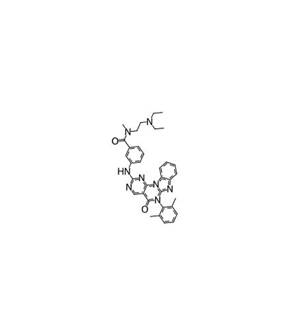 CCN(CC)CCN(C)C(=O)c1cccc(Nc2ncc3c(=O)n(-c4c(C)cccc4C)c4nc5ccccc5n4c3n2)c1